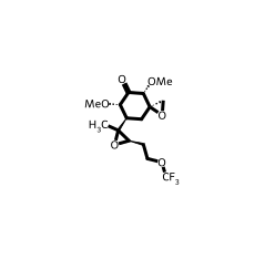 CO[C@@H]1C(=O)[C@H](OC)[C@]2(CO2)C[C@H]1C1(C)O[C@@H]1CCOC(F)(F)F